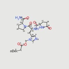 CCCCCCCCCCCC(=O)OCn1cncc1C[C@H](NC(=O)C1CCC(=O)N1)C(=O)N1CCCC1C(N)=O